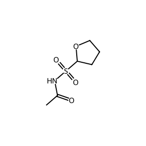 CC(=O)NS(=O)(=O)C1CCCO1